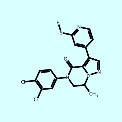 CC1CN(c2ccc(Cl)c(Cl)c2)C(=O)c2c(-c3ccnc(SF)c3)cnn21